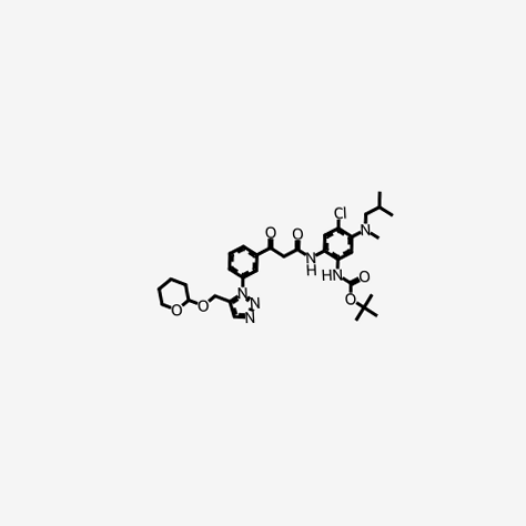 CC(C)CN(C)c1cc(NC(=O)OC(C)(C)C)c(NC(=O)CC(=O)c2cccc(-n3nncc3COC3CCCCO3)c2)cc1Cl